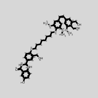 COc1cc(/C=C\c2cc(OC)c(OCCCCCCCCOc3ccc(C4NC(=O)c5cc(Cl)ccc5N4)cc3CO)c(OC)c2)cc(CO)c1CO